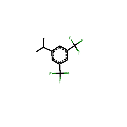 [CH2]C(C)c1cc(C(F)(F)F)cc(C(F)(F)F)c1